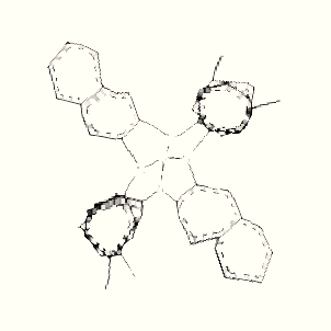 Cc1cccc(N2c3cc4ccccc4cc3N(c3cccc(C)c3)[Si]23N(c2cccc(C)c2)c2cc4ccccc4cc2N3c2cccc(C)c2)c1